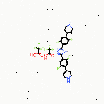 Cn1c(-c2cc(F)c(C3=CCNCC3)cc2F)nnc1-c1cc(F)c(C2=CCNCC2)cc1F.O=C(O)C(F)(F)F.O=C(O)C(F)(F)F